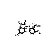 COc1cccc(CN2C(=O)[C@H](C)c3cc(Cl)ccc32)c1C(=O)O